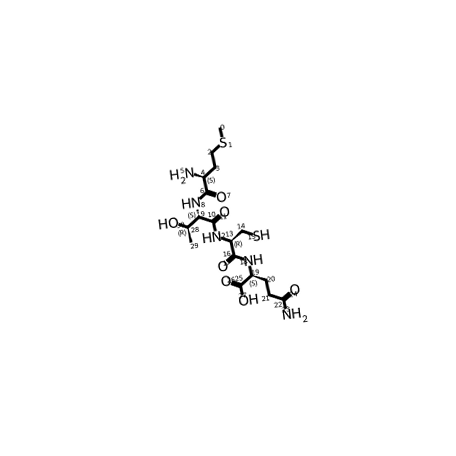 CSCC[C@H](N)C(=O)N[C@H](C(=O)N[C@@H](CS)C(=O)N[C@@H](CCC(N)=O)C(=O)O)[C@@H](C)O